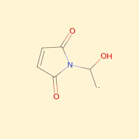 [CH2]C(O)N1C(=O)C=CC1=O